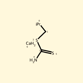 CC(C)CSC(N)=S.[CaH2]